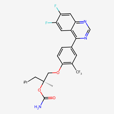 CC(C)C[C@@](C)(COc1ccc(-c2ncnc3cc(F)c(F)cc23)cc1C(F)(F)F)OC(N)=O